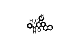 CC1(c2ccncc2)C=C(Nc2ccccc2)C(=O)c2c1ccc1c2CC=C2CC=CC=C21